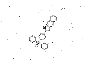 O=P(c1ccccc1)(c1ccccc1)c1ccc(-c2cc3cc4ccccc4cn3n2)cc1